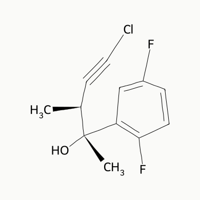 C[C@@H](C#CCl)[C@@](C)(O)c1cc(F)ccc1F